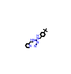 CC(C)(C)c1ccc(CNC(=NC#N)NCCc2ccccn2)cc1